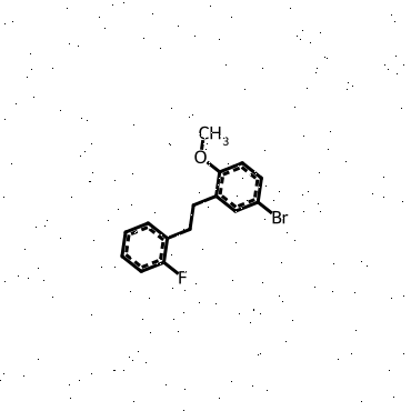 COc1ccc(Br)cc1CCc1ccccc1F